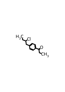 CCC(=O)c1ccc(CC(Cl)CC)cc1